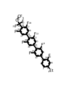 CCc1ccc(-c2cc(F)c(-c3cc(F)c(-c4cc(F)c(C(F)(F)OC(F)(F)F)c(F)c4)c(F)c3)c(F)c2)c(F)c1